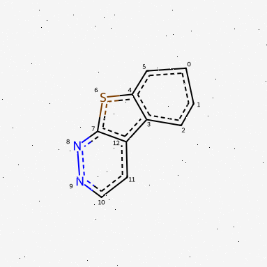 c1ccc2c(c1)sc1nnccc12